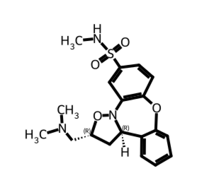 CNS(=O)(=O)c1ccc2c(c1)N1O[C@@H](CN(C)C)C[C@@H]1c1ccccc1O2